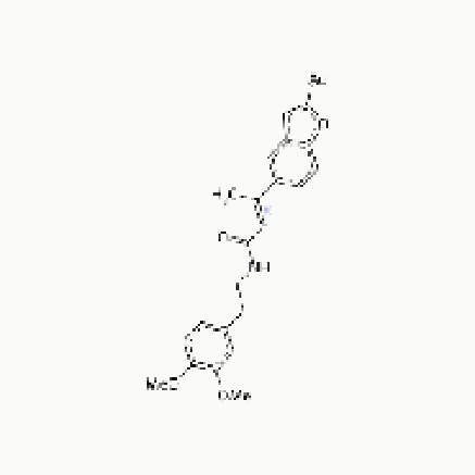 COc1ccc(CCNC(=O)/C=C(\C)c2ccc3oc(C(C)=O)cc3c2)cc1OC